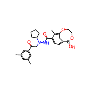 CC1=C2CC(=CC=C1C(=O)NN(CC(=O)c1cc(C)cc(C)c1)C1CCCC1)B(O)OCCO2